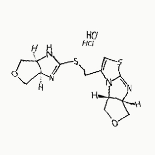 C1=C(CSC2=N[C@H]3COC[C@H]3N2)N2C(=N[C@@H]3COC[C@@H]32)S1.Cl.Cl